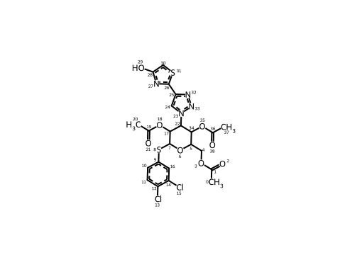 CC(=O)OCC1OC(Sc2ccc(Cl)c(Cl)c2)C(OC(C)=O)C(n2cc(-c3nc(O)cs3)nn2)C1OC(C)=O